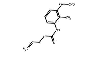 C=CCOC(=O)Nc1cccc(NC=O)c1C